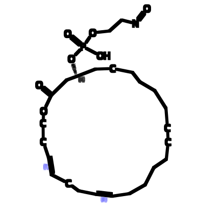 O=NCCOP(=O)(O)O[C@@H]1CCCCCCCCCCCC/C=C/CC/C=C/CCOC(=O)C1